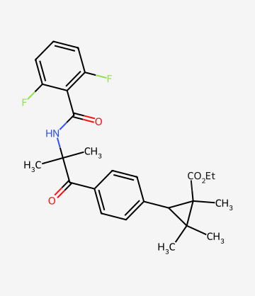 CCOC(=O)C1(C)C(c2ccc(C(=O)C(C)(C)NC(=O)c3c(F)cccc3F)cc2)C1(C)C